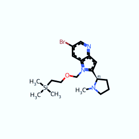 CN1CCC[C@@H]1c1cc2ncc(Br)cc2n1COCC[Si](C)(C)C